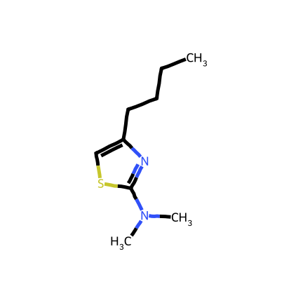 CCCCc1csc(N(C)C)n1